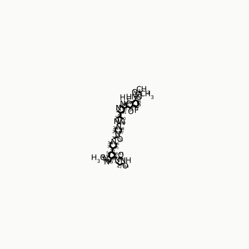 CC(C)S(=O)(=O)Nc1ccc(F)c(C(=O)c2c[nH]c3ncc(-c4cnc(N5CCN(C(=O)CN6CCC(c7cc(N8CCC(=O)NC8=O)c8cnn(C)c8c7)CC6)CC5)nc4)cc23)c1F